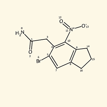 NC(=O)Cc1c(Br)cc2c(c1[N+](=O)[O-])CCC2